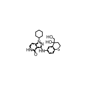 O=c1[nH]ccc2c1c(Nc1ccc3c(c1)C(O)(CO)CCS3)nn2C1CCCCC1